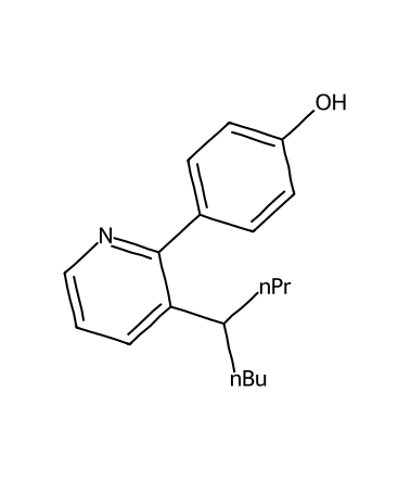 CCCCC(CCC)c1cccnc1-c1ccc(O)cc1